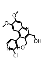 COc1cc2nc(CO)c(CO)c(-c3ccnc(Cl)c3)c2cc1OC